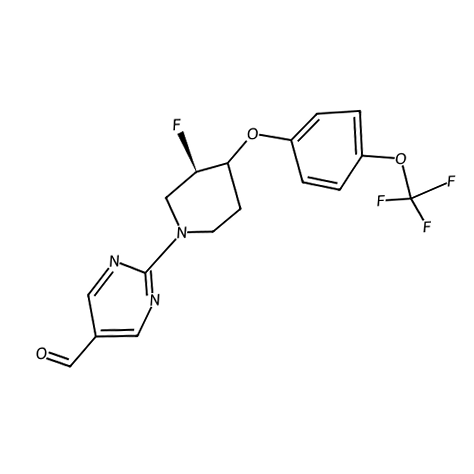 O=Cc1cnc(N2CCC(Oc3ccc(OC(F)(F)F)cc3)[C@H](F)C2)nc1